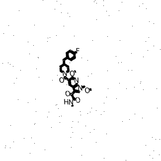 CNC(=O)C(=O)c1cn(COC)c2nc(OC)c(C(=O)N3CCC(Cc4ccc(F)cc4)CC3)cc12